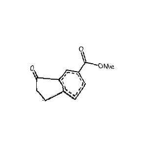 COC(=O)c1ccc2c(c1)C(=O)C[CH]2